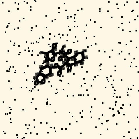 Cc1noc(N(C)S(=O)(=O)c2c(C(=O)Oc3ccc4c(c3)OOC4)[nH]c3ccccc23)c1Cl